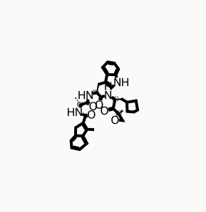 CC1=C(C(=O)N[C@H](C)C(=O)N[C@@H](Cc2c[nH]c3ccccc23)C(=O)N[C@@H](CC2CCCC2)C(=O)[C@]2(C)CO2)Cc2ccccc21